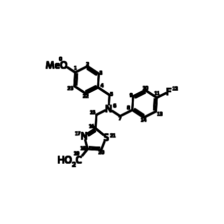 COc1ccc(CN(Cc2ccc(F)cc2)Cc2nc(C(=O)O)cs2)cc1